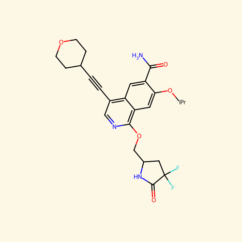 CC(C)Oc1cc2c(OCC3CC(F)(F)C(=O)N3)ncc(C#CC3CCOCC3)c2cc1C(N)=O